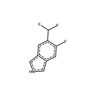 Fc1cc2c[nH]cc2cc1C(F)F